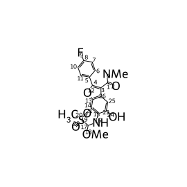 CNC(=O)c1c(-c2ccc(F)cc2)oc2cc(NC(OC)S(C)(=O)=O)c(O)cc12